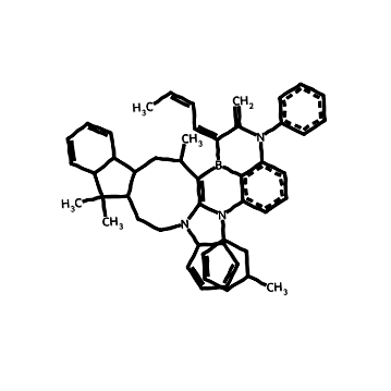 C=C1/C(=C\C=C/C)B2C3=C(N(C4C=CC=CC4)CCC4C(CC3C)C3C=CC=CC3C4(C)C)N(C3C=CCC(C)C3)c3cccc(c32)N1c1ccccc1